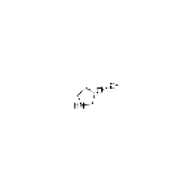 C1CCNC1.CCCl